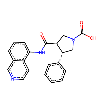 O=C(Nc1cccc2cnccc12)[C@H]1CN(C(=O)O)C[C@@H]1c1ccccc1